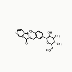 O=c1n(Cc2cc([C@@H]3O[C@H](CO)[C@@H](O)[C@H](O)[C@@H]3O)ccc2Cl)nc2ccncn12